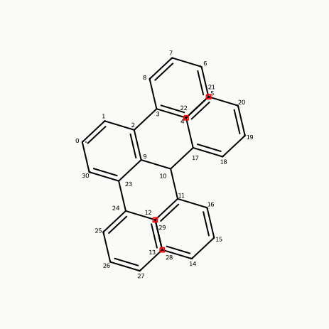 [c]1cc(-c2ccccc2)c(C(c2ccccc2)c2ccccc2)c(-c2ccccc2)c1